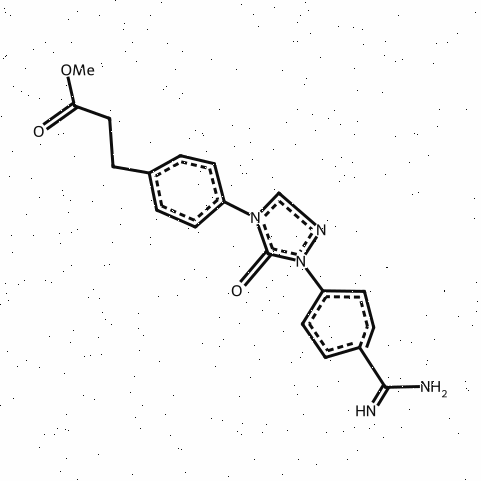 COC(=O)CCc1ccc(-n2cnn(-c3ccc(C(=N)N)cc3)c2=O)cc1